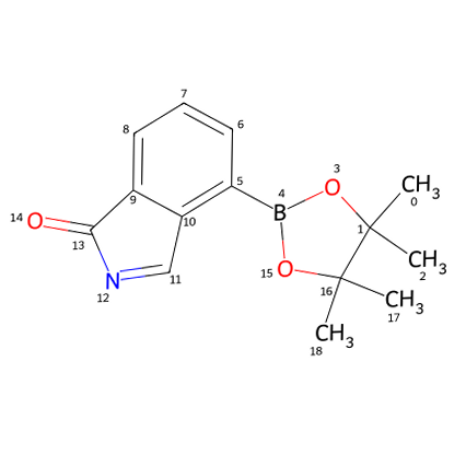 CC1(C)OB(c2cccc3c2C=NC3=O)OC1(C)C